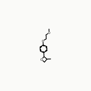 COCCOc1ccc(C2OCC2C)cc1